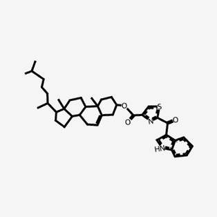 CC(C)CCCC(C)C1CCC2C3CC=C4CC(OC(=O)c5csc(C(=O)c6c[nH]c7ccccc67)n5)CCC4(C)C3CCC12C